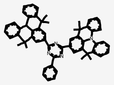 CC1(C)c2ccccc2C2c3ccccc3C(C)(C)c3cc(-c4nc(-c5ccccc5)nc(-c5cc6c7c(c5)C(C)(C)c5ccccc5N7c5ccccc5C6(C)C)n4)cc1c32